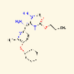 CCCOC(=O)N/C(=C(/N)c1ccc(OC2CCCCC2)c(C)n1)N(C)N